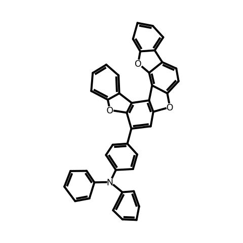 c1ccc(N(c2ccccc2)c2ccc(-c3cc4oc5ccc6c7ccccc7oc6c5c4c4c3oc3ccccc34)cc2)cc1